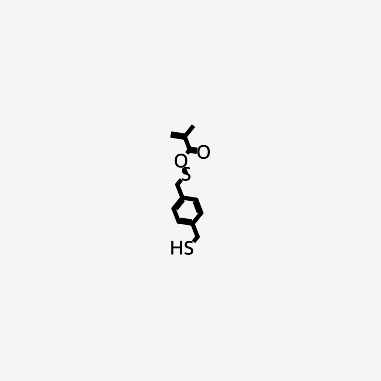 C=C(C)C(=O)OSCc1ccc(CS)cc1